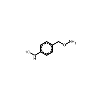 NOCc1ccc(NO)cc1